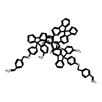 C=Cc1ccc(COc2ccc(C3(c4cc(C)ccc4C)c4ccccc4-c4ccc(N(c5cccc(F)c5)c5ccc6c(c5)C5(c7ccccc7-6)c6ccccc6-c6ccc(N(c7cccc(F)c7)c7ccc8c(c7)C(c7ccc(OCc9ccc(C=C)cc9)cc7)(c7cc(C)ccc7C)c7ccccc7-8)cc65)cc43)cc2)cc1